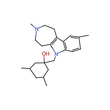 Cc1ccc2c(c1)c1c(n2CC2(O)CC(C)CC(C)C2)CCN(C)CC1